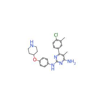 Cc1cc(-c2nc(Nc3ccc(OC4CCNCC4)cc3)nc(N)c2C)ccc1Cl